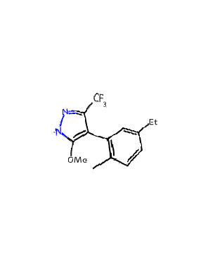 CCc1ccc(C)c(C2=C(OC)[N]N=C2C(F)(F)F)c1